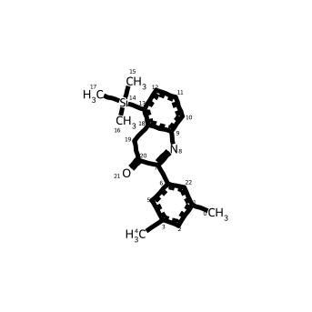 Cc1cc(C)cc(C2=Nc3cccc([Si](C)(C)C)c3CC2=O)c1